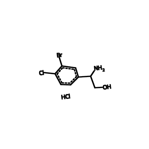 Cl.NC(CO)c1ccc(Cl)c(Br)c1